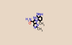 Cc1ncc2c(C(N)=O)c(N)n(-c3c(C)ccc4[nH]ncc34)c2n1